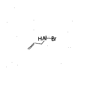 C=C[CH2][AlH][Br]